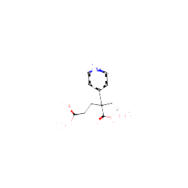 CCC(CCC(=O)O)(C(=O)O)c1ccncc1